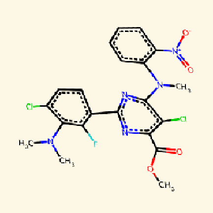 COC(=O)c1nc(-c2ccc(Cl)c(N(C)C)c2F)nc(N(C)c2ccccc2[N+](=O)[O-])c1Cl